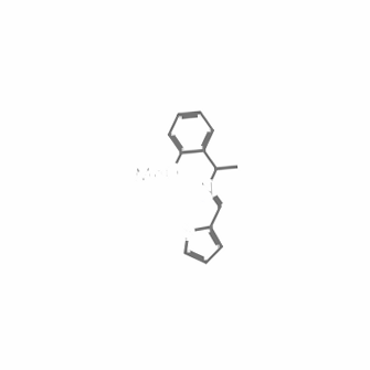 COc1ccccc1C(C)/N=C/c1cccs1